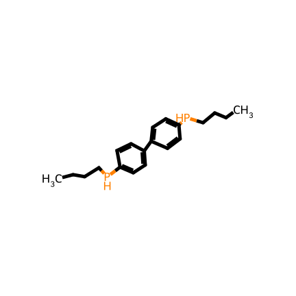 CCCCPc1ccc(-c2ccc(PCCCC)cc2)cc1